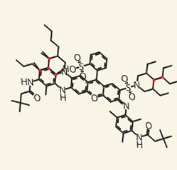 CCCCC(CC)CN(CC(CC)CCCC)c1cc2c(-c3ccccc3S(=O)(=O)O)c3cc(S(=O)(=O)N(CC(CC)CCCC)CC(CC)CCCC)/c(=N/c4c(C)cc(C)c(NC(=O)CC(C)(C)C)c4C)cc-3oc2cc1Nc1c(C)cc(C)c(NC(=O)CC(C)(C)C)c1C